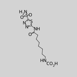 NS(=O)(=O)c1nnc(NC(=O)CCCCCCCNC(=O)O)s1